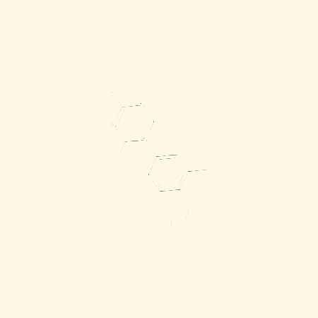 COc1ccc(N2[C]=NC(Cl)=NC2Cl)cc1Cl